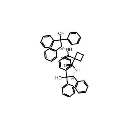 O=C(N[C@H](c1ccccc1)C(O)(c1ccccc1)c1ccccc1)C1(C(=O)N[C@H](c2ccccc2)C(O)(c2ccccc2)c2ccccc2)CCC1